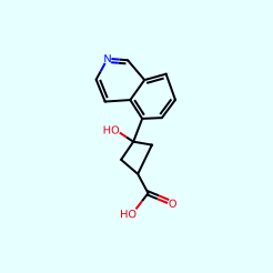 O=C(O)C1CC(O)(c2cccc3cnccc23)C1